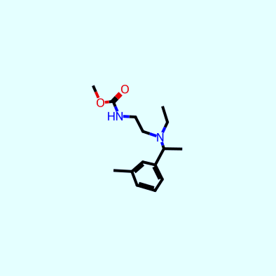 CCN(CCNC(=O)OC)C(C)c1cccc(C)c1